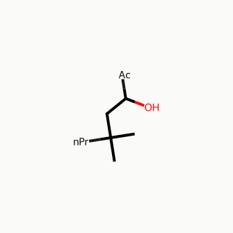 CCCC(C)(C)CC(O)C(C)=O